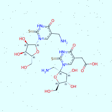 NC[C@@]1(n2cc(CC(=O)O)c(=O)[nH]c2=S)O[C@H](CO)[C@@H](O)[C@H]1O.NCc1cn([C@@H]2O[C@H](CO)[C@@H](O)[C@H]2O)c(=S)[nH]c1=O